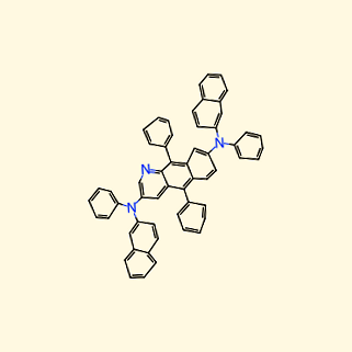 c1ccc(-c2c3ccc(N(c4ccccc4)c4ccc5ccccc5c4)cc3c(-c3ccccc3)c3ncc(N(c4ccccc4)c4ccc5ccccc5c4)cc23)cc1